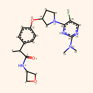 CC(C(=O)NC1COC1)c1ccc(OC2CCN(c3nc(N(C)C)ncc3F)C2)cc1